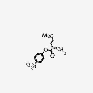 COCCN(C)C(=O)Oc1ccc([N+](=O)[O-])cc1